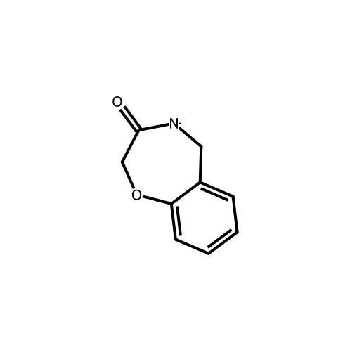 O=C1COc2ccccc2C[N]1